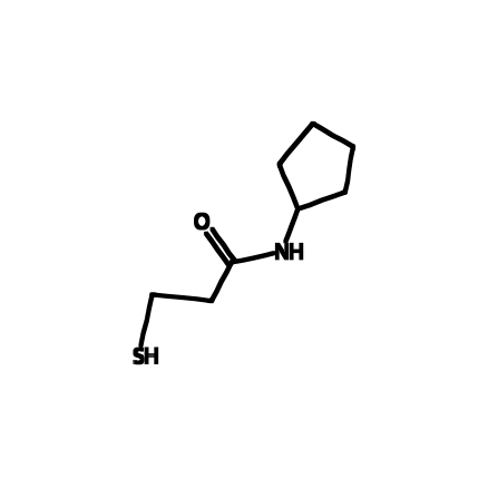 O=C(CCS)NC1CCCC1